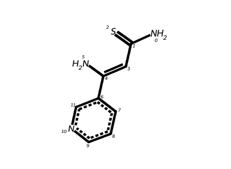 NC(=S)C=C(N)c1cccnc1